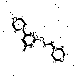 Cc1cc(N2CCOCC2)nc(OCCN2CCOCC2)n1